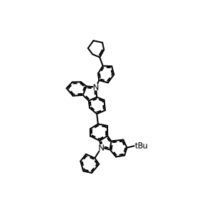 CC(C)(C)c1ccc2c(c1)c1cc(-c3ccc4c(c3)c3ccccc3n4-c3cccc(C4=CCCCC4)c3)ccc1n2-c1ccccc1